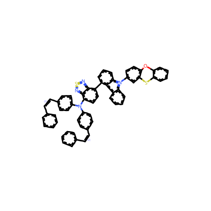 C(=C/c1ccc(N(c2ccc(/C=C\c3ccccc3)cc2)c2ccc(-c3cccc4c3c3ccccc3n4-c3ccc4c(c3)Sc3ccccc3O4)c3nsnc23)cc1)/c1ccccc1